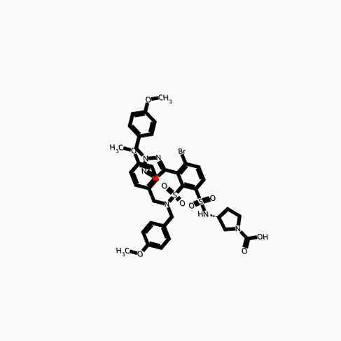 COc1ccc(CN(Cc2ccc(OC)cc2)S(=O)(=O)c2c(S(=O)(=O)N[C@@H]3CCN(C(=O)O)C3)ccc(Br)c2-c2nnn(Cc3ccc(OC)cc3)n2)cc1